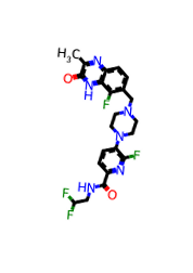 Cc1nc2ccc(CN3CCN(c4ccc(C(=O)NCC(F)F)nc4F)CC3)c(F)c2[nH]c1=O